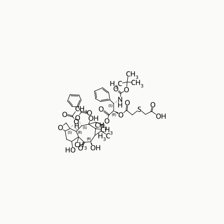 CC(=O)O[C@@]12COC1CC(O)C1(C)C(=O)[C@H](O)C3C(C)[C@@H](OC(=O)[C@H](OC(=O)CSCC(=O)O)[C@@H](NC(=O)OC(C)(C)C)c4ccccc4)CC(O)([C@@H](OC(=O)c4ccccc4)[C@@H]12)C3(C)C